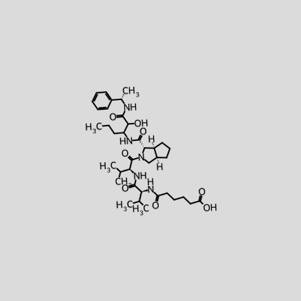 CCCC(NC(=O)[C@@H]1[C@H]2CCC[C@H]2CN1C(=O)[C@@H](NC(=O)[C@@H](NC(=O)CCCCC(=O)O)C(C)C)C(C)C)C(O)C(=O)N[C@@H](C)c1ccccc1